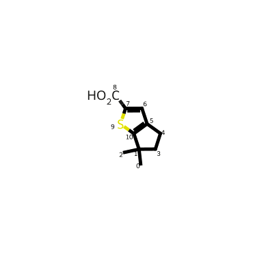 CC1(C)CCc2cc(C(=O)O)sc21